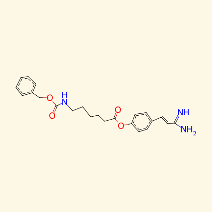 N=C(N)C=Cc1ccc(OC(=O)CCCCCNC(=O)OCc2ccccc2)cc1